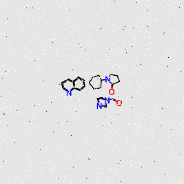 O=C1CCCN1C1CCCCC1.O=Cn1ccnc1.c1ccc2ncccc2c1